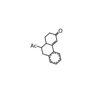 CC(=O)C1Cc2ccccc2C2=CC(=O)CCC21